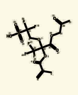 C=C(C)C(=O)OC(OCC(F)(F)S(=O)(=O)O)(C(=O)OCC(C)=O)C(F)(F)F